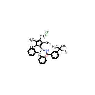 CC1=C(C)C(C)[C]([Ti+2]([NH]C(=O)c2cccc(C(C)(C)C)c2)[SiH](c2ccccc2)c2ccccc2)=C1C.[Cl-].[Cl-]